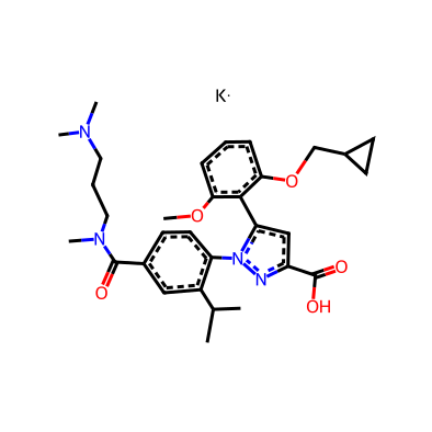 COc1cccc(OCC2CC2)c1-c1cc(C(=O)O)nn1-c1ccc(C(=O)N(C)CCCN(C)C)cc1C(C)C.[K]